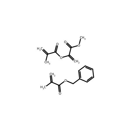 C=C(C)C(=O)OC(=C)C(=O)OC.C=C(C)C(=O)OCc1ccccc1